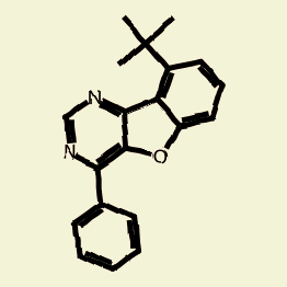 CC(C)(C)c1cccc2oc3c(-c4ccccc4)ncnc3c12